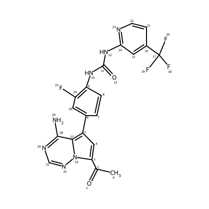 CC(=O)c1cc(-c2ccc(NC(=O)Nc3cc(C(F)(F)F)ccn3)c(F)c2)c2c(N)ncnn12